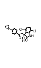 O=C(C[C@]1(O)C(=O)Nc2c(Cl)ccc(Cl)c21)c1ccc(N2CCC2)cc1